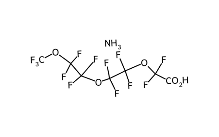 N.O=C(O)C(F)(F)OC(F)(F)C(F)(F)OC(F)(F)C(F)(F)OC(F)(F)F